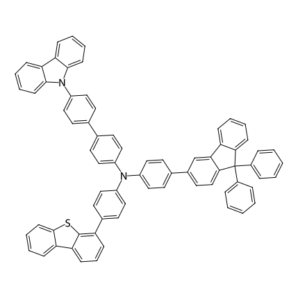 c1ccc(C2(c3ccccc3)c3ccccc3-c3cc(-c4ccc(N(c5ccc(-c6ccc(-n7c8ccccc8c8ccccc87)cc6)cc5)c5ccc(-c6cccc7c6sc6ccccc67)cc5)cc4)ccc32)cc1